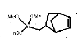 CCCC[Si](CC1CC2C=CC1C2)(OC)OC